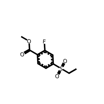 CCS(=O)(=O)c1ccc(C(=O)OC)c(F)c1